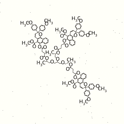 COC(=O)c1c2c(c3ccccc3c1OC(=O)CCC(=O)OC(C)COCC(COCC(C)OC(=O)CCC(=O)Oc1c(C(=O)OC)c3c(c4ccccc14)OC(c1ccc(OC)cc1)(c1ccc(OC)cc1)C=C3)OCC(C)OC(=O)CCC(=O)Oc1c(C(=O)OC)c3c(c4ccccc14)OC(c1ccc(OC)cc1)(c1ccc(OC)cc1)C=C3)OC(c1ccc(OC)cc1)(c1ccc(OC)cc1)C=C2